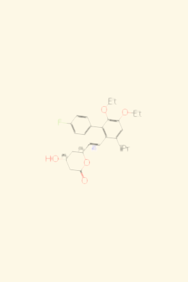 CCOc1cc(C(C)C)c(/C=C/[C@@H]2C[C@@H](O)CC(=O)O2)c(-c2ccc(F)cc2)c1OCC